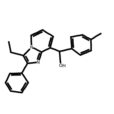 CCc1c(-c2ccccc2)nc2c(C(O)c3ccc(C)cc3)cccn12